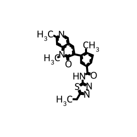 CCc1nnc(NC(=O)c2ccc(C)c(-c3cc4cnc(C)cc4n(C)c3=O)c2)s1